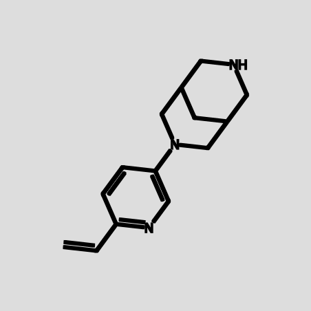 C=Cc1ccc(N2CC3CNCC(C3)C2)cn1